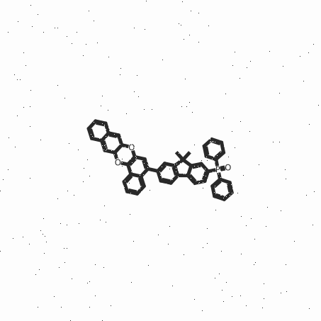 CC1(C)c2cc(-c3cc4c(c5ccccc35)OC3C=c5ccccc5=CC3O4)ccc2-c2ccc(P(=O)(c3ccccc3)c3ccccc3)cc21